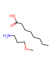 CCCCCCCC(=O)O.COCCCN